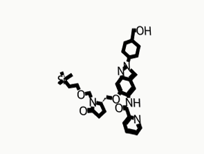 C[Si](C)(C)CCOCN1C(=O)CC[C@H]1COc1cc2nn(C3CCC(CO)CC3)cc2cc1NC(=O)c1ccccn1